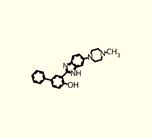 CN1CCN(c2ccc3nc(-c4cc(-c5ccccc5)ccc4O)[nH]c3c2)CC1